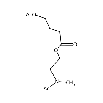 CC(=O)OCCCC(=O)OCCN(C)C(C)=O